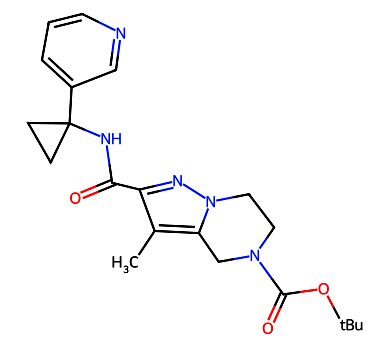 Cc1c(C(=O)NC2(c3cccnc3)CC2)nn2c1CN(C(=O)OC(C)(C)C)CC2